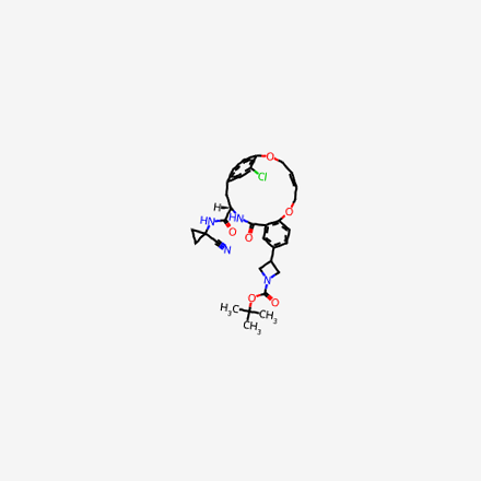 CC(C)(C)OC(=O)N1CC(c2ccc3c(c2)C(=O)N[C@H](C(=O)NC2(C#N)CC2)Cc2ccc(c(Cl)c2)OCC=CCO3)C1